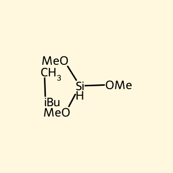 CCC(C)C.CO[SiH](OC)OC